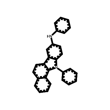 c1ccc(Nc2ccc3c(c2)c2ccc4ccccc4c2n3-c2ccccc2)cc1